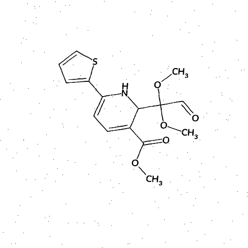 COC(=O)C1=CC=C(c2cccs2)NC1C(C=O)(OC)OC